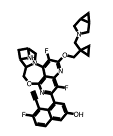 C#Cc1c(F)ccc2cc(O)cc(-c3nc4c5c(c(F)c(OCC6(CN7CC8CC8C7)CC6)nc5c3F)N3CC5CC(N5)C3CO4)c12